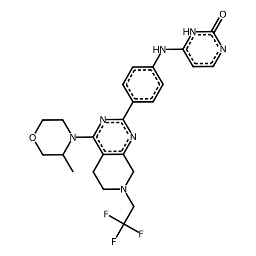 CC1COCCN1c1nc(-c2ccc(Nc3ccnc(=O)[nH]3)cc2)nc2c1CCN(CC(F)(F)F)C2